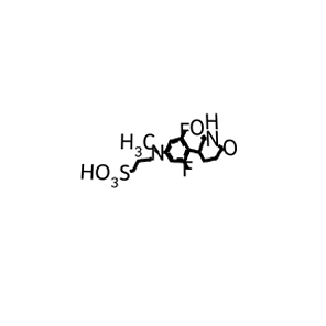 CN(CCCS(=O)(=O)O)c1cc(F)c(C2CCC(=O)NC2=O)c(F)c1